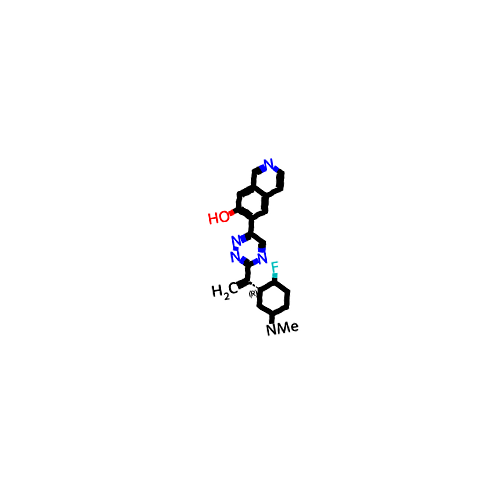 C=C(c1ncc(-c2cc3ccncc3cc2O)nn1)[C@H]1CC(NC)CCC1F